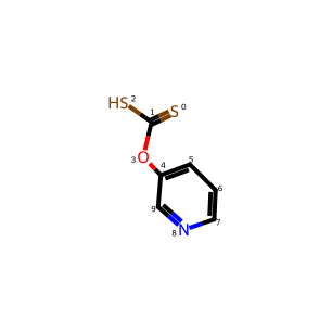 S=C(S)Oc1cccnc1